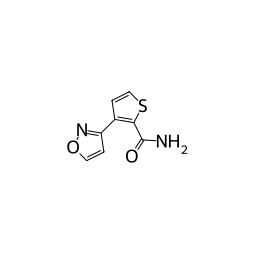 NC(=O)c1sccc1-c1ccon1